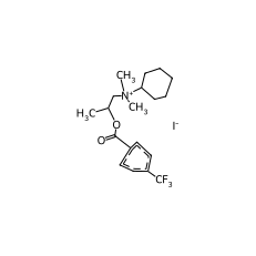 CC(C[N+](C)(C)C1CCCCC1)OC(=O)c1ccc(C(F)(F)F)cc1.[I-]